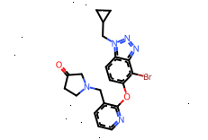 O=C1CCN(Cc2cccnc2Oc2ccc3c(nnn3CC3CC3)c2Br)C1